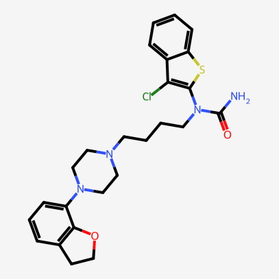 NC(=O)N(CCCCN1CCN(c2cccc3c2OCC3)CC1)c1sc2ccccc2c1Cl